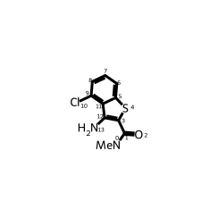 CNC(=O)c1sc2cccc(Cl)c2c1N